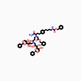 NC(=O)C(CCc1ccc(CCCCNC(=O)OCc2ccccc2)cc1)N(CCCN(C[C@H](O)[C@@H](O)[C@@H]1OC(c2ccccc2)OC[C@H]1O)C[C@H](O)[C@@H](O)[C@@H]1O[C@@H](c2ccccc2)OC[C@H]1O)CC(=O)OCc1ccccc1